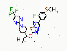 CSc1ccc(-c2cn3nc(OC(C)C4CCN(c5ncc(C(F)(F)F)cn5)CC4)sc3n2)c(F)c1